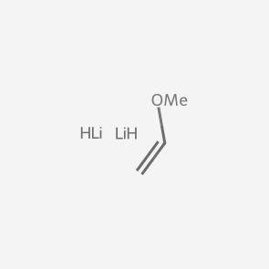 C=COC.[LiH].[LiH]